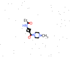 CCC(=O)NC12CC(C(=O)N3CCN(C)CC3)(C1)C2